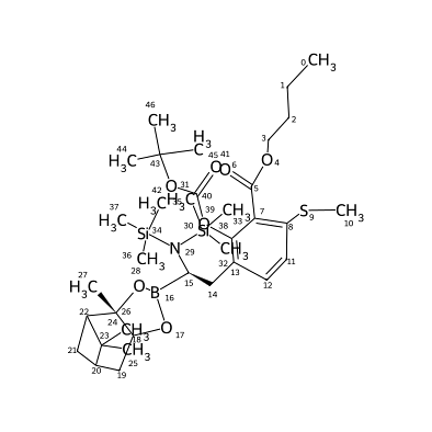 CCCCOC(=O)c1c(SC)ccc(C[C@@H](B2OC3CC4CC(C4(C)C)[C@]3(C)O2)N([Si](C)(C)C)[Si](C)(C)C)c1OC(=O)OC(C)(C)C